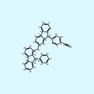 N#Cc1ccc(-n2c3ccccc3c3ccc(Cc4cccc5c6ccccc6n(-c6ccccc6)c45)cc32)cc1